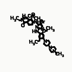 CCOc1cc(N2CCC(N3CCN(C)CC3)CC2)c(CC)cc1Nc1ncc(Br)c(Nc2ccc3c(=O)n(CC)ncc3c2P(C)(C)=O)n1